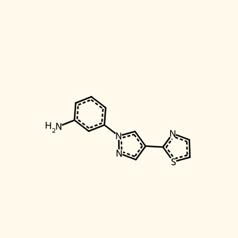 Nc1cccc(-n2cc(-c3nccs3)cn2)c1